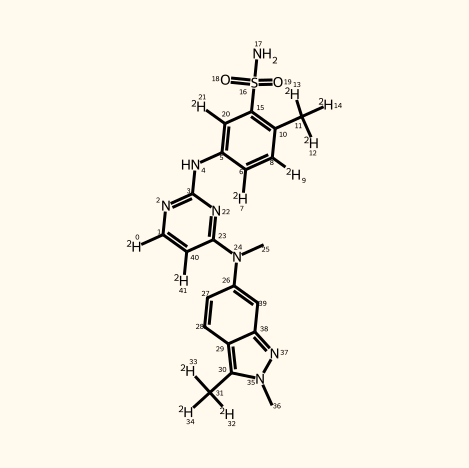 [2H]c1nc(Nc2c([2H])c([2H])c(C([2H])([2H])[2H])c(S(N)(=O)=O)c2[2H])nc(N(C)c2ccc3c(C([2H])([2H])[2H])n(C)nc3c2)c1[2H]